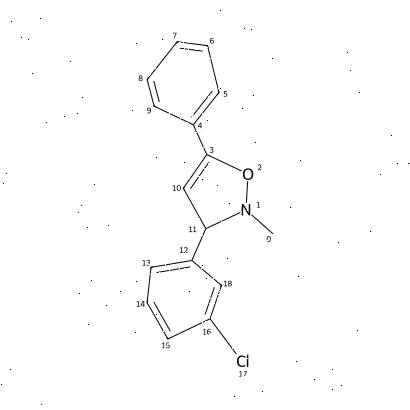 CN1OC(c2ccccc2)=CC1c1cccc(Cl)c1